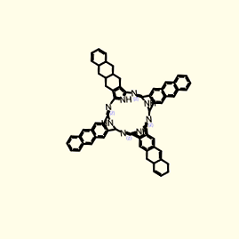 C1=CC2CC3Cc4c5[nH]c(c4CC3CC2C=C1)/N=C1\NC(/N=c2\[nH]/c(c3cc4c(cc23)CC2C=CCCC2=C4)=N\C2N/C(=N\5)c3cc4cc5ccccc5cc4cc32)c2cc3cc4ccccc4cc3cc21